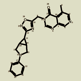 Cc1cncc2ncn(Cc3nc(C4C5CN(c6ccccc6)CC54)no3)c(=O)c12